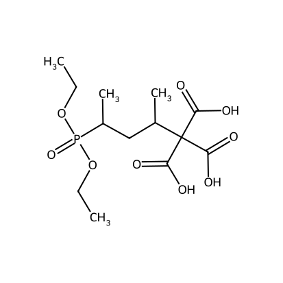 CCOP(=O)(OCC)C(C)CC(C)C(C(=O)O)(C(=O)O)C(=O)O